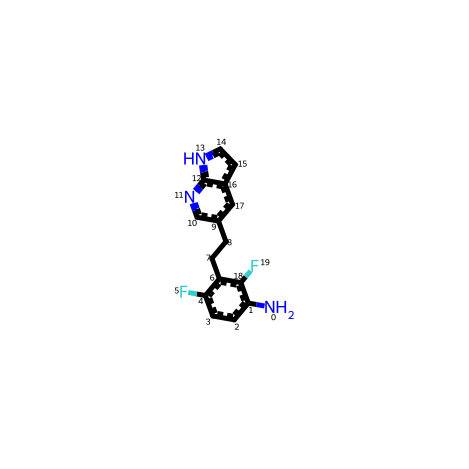 Nc1ccc(F)c(CCc2cnc3[nH]ccc3c2)c1F